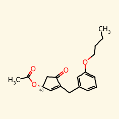 CCCCOc1cccc(CC2=C[C@H](OC(C)=O)CC2=O)c1